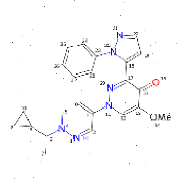 C=C(/C=N\N(C)C(C)C1CC1)n1cc(OC)c(=O)c(-c2ccnn2-c2ccccc2)n1